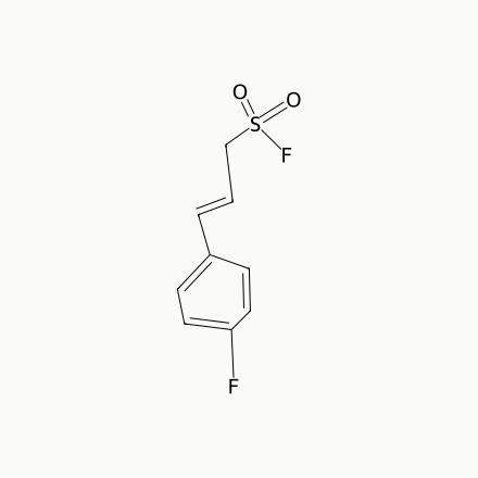 O=S(=O)(F)CC=Cc1ccc(F)cc1